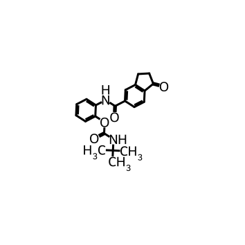 CC(C)(C)NC(=O)Oc1ccccc1NC(=O)c1ccc2c(c1)CCC2=O